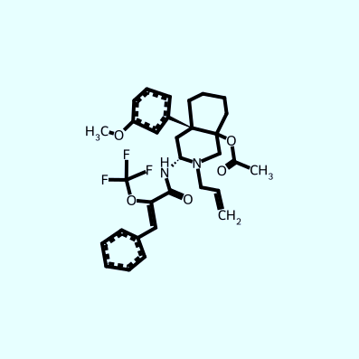 C=CCN1CC2(OC(C)=O)CCCC[C@@]2(c2cccc(OC)c2)C[C@H]1NC(=O)C(=Cc1ccccc1)OC(F)(F)F